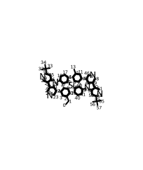 CCc1cccc([Si](c2cccc(C)c2)(c2cccc(-n3c4ccncc4c4cnc(C(C)(C)C)cc43)c2)c2cccc(-n3c4ccncc4c4cnc(C(C)(C)C)cc43)c2)c1